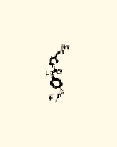 CCCOCC1CCN(C(=O)Nc2ccc(OC(F)(F)F)cc2)C1